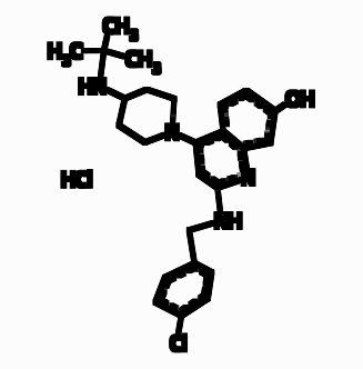 CC(C)(C)NC1CCN(c2cc(NCc3ccc(Cl)cc3)nc3cc(O)ccc23)CC1.Cl